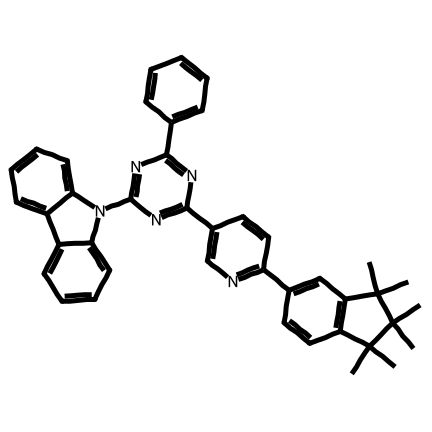 CC1(C)c2ccc(-c3ccc(-c4nc(-c5ccccc5)nc(-n5c6ccccc6c6ccccc65)n4)cn3)cc2C(C)(C)C1(C)C